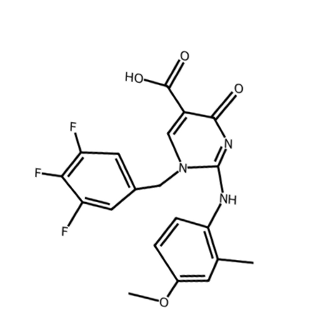 COc1ccc(Nc2nc(=O)c(C(=O)O)cn2Cc2cc(F)c(F)c(F)c2)c(C)c1